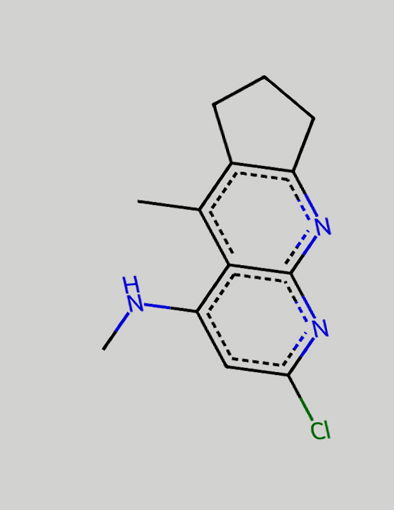 CNc1cc(Cl)nc2nc3c(c(C)c12)CCC3